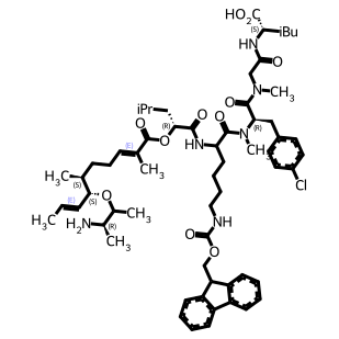 C/C=C/[C@@H](OC(C)[C@@H](C)N)[C@@H](C)CC/C=C(\C)C(=O)O[C@H](CC(C)C)C(=O)NC(CCCCNC(=O)OCC1c2ccccc2-c2ccccc21)C(=O)N(C)[C@H](Cc1ccc(Cl)cc1)C(=O)N(C)CC(=O)N[C@H](C(=O)O)C(C)CC